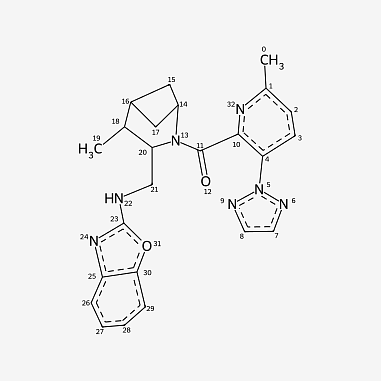 Cc1ccc(-n2nccn2)c(C(=O)N2C3CC(C3)C(C)C2CNc2nc3ccccc3o2)n1